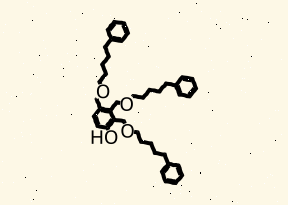 Oc1ccc(COCCCCCc2ccccc2)c(COCCCCCc2ccccc2)c1COCCCCCc1ccccc1